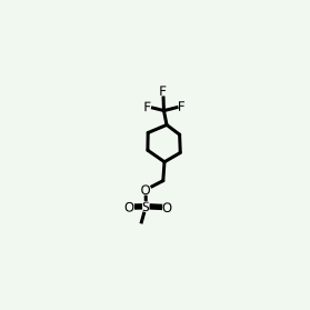 CS(=O)(=O)OCC1CCC(C(F)(F)F)CC1